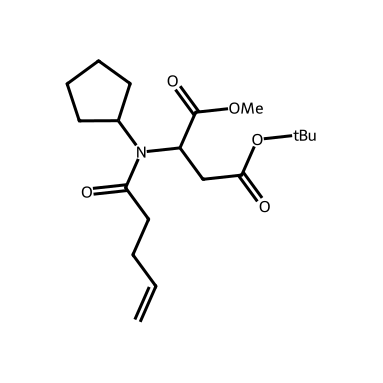 C=CCCC(=O)N(C1CCCC1)C(CC(=O)OC(C)(C)C)C(=O)OC